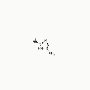 Bc1nnc(BC)[nH]1